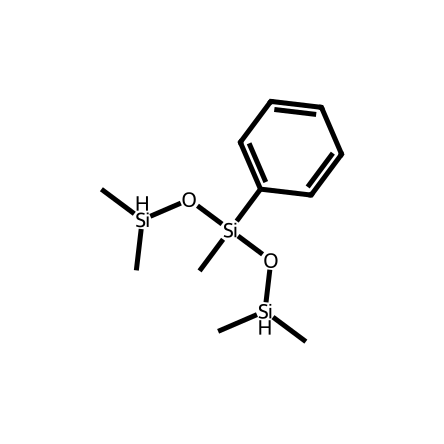 C[SiH](C)O[Si](C)(O[SiH](C)C)c1ccccc1